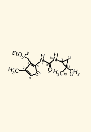 CCOC(=O)c1c(C)csc1NC(=O)NC1CC1(C)C